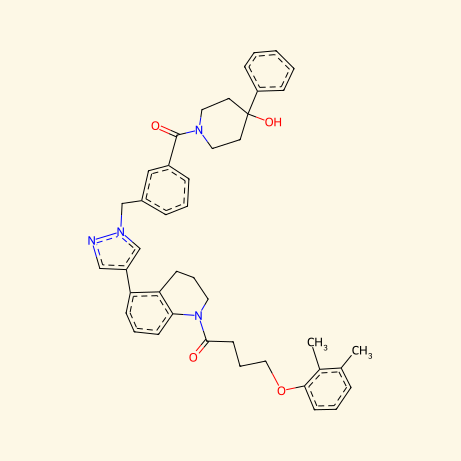 Cc1cccc(OCCCC(=O)N2CCCc3c(-c4cnn(Cc5cccc(C(=O)N6CCC(O)(c7ccccc7)CC6)c5)c4)cccc32)c1C